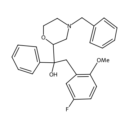 COc1ccc(F)cc1CC(O)(c1ccccc1)C1CN(Cc2ccccc2)CCO1